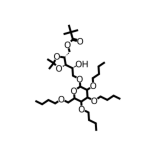 CCCCOCC1OC(OC[C@@H](O)[C@@H]2OC(C)(C)O[C@@H]2COC(=O)C(C)(C)C)C(OCCCC)C(OCCCC)C1OCCCC